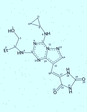 CCC(CO)Nc1nc(NC2CC2)n2ncc(/C=C3\NC(=O)NC3=O)c2n1